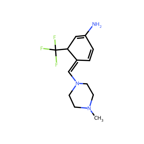 CN1CCN(C=C2C=CC(N)=CC2C(F)(F)F)CC1